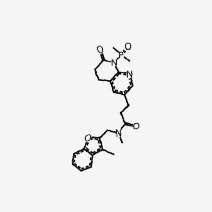 Cc1c(CN(C)C(=O)CCc2cnc3c(c2)CCC(=O)N3P(C)(C)=O)oc2ccccc12